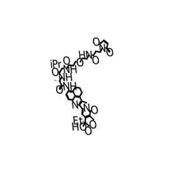 CC[C@@]1(O)C(=O)OCc2c1cc1n(c2=O)Cc2c-1nc1ccc(NC(=O)[C@H](C)NC(=O)[C@@H](NC(=O)CCOCCNC(=O)CCN3C(=O)C=CC3=O)C(C)C)c3c1c2CCC3